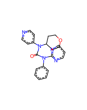 O=C(N(c1ccccc1)c1ncccn1)N(c1ccncc1)C1CCOCC1